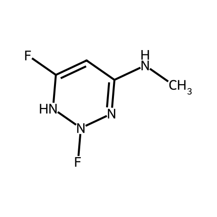 CNC1=NN(F)NC(F)=C1